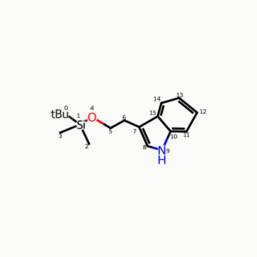 CC(C)(C)[Si](C)(C)OCCc1c[nH]c2ccccc12